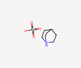 C1C[NH+]2CCC1CC2.[O]=[Re](=[O])(=[O])[O-]